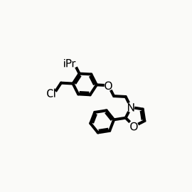 CC(C)c1cc(OCCN2C=COC2c2ccccc2)ccc1CCl